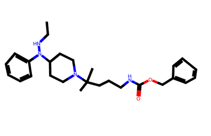 CCNN(c1ccccc1)C1CCN(C(C)(C)CCCNC(=O)OCc2ccccc2)CC1